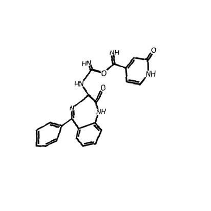 N=C(NC1N=C(c2ccccc2)c2ccccc2NC1=O)OC(=N)c1cc[nH]c(=O)c1